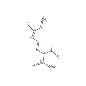 C=C/C(Cl)=C\C=C\C(SC(C)=O)C(=O)OC